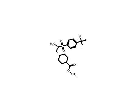 COC(=O)[C@H]1CC[C@H](CN(C)S(=O)(=O)c2ccc(C(F)(F)F)cc2)CC1